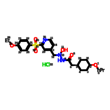 CCCO[C@H]1CC[C@@H](CC(=O)NN(O)Cc2ccnc(S(=O)(=O)c3ccc(OCC)cc3)c2)CC1.Cl